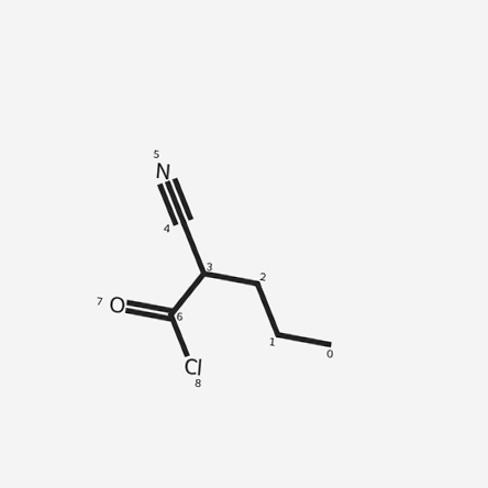 CCCC(C#N)C(=O)Cl